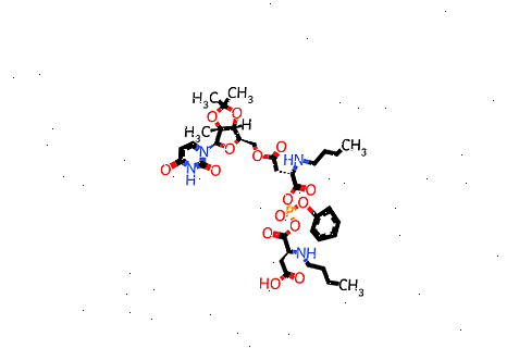 CCCCN[C@@H](CC(=O)O)C(=O)OP(=O)(OC(=O)[C@H](CC(=O)OC[C@H]1O[C@@H](n2ccc(=O)[nH]c2=O)[C@]2(C)OC(C)(C)O[C@H]12)NCCCC)Oc1ccccc1